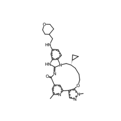 Cc1cc2cc(n1)-c1cnn(C)c1OCCC[C@@H](C1CC1)CN1/C(=N/C2=O)Nc2cc(NCC3CCOCC3)ccc21